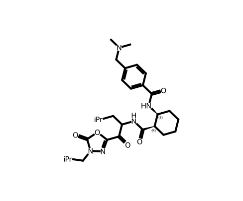 CC(C)CC(NC(=O)[C@@H]1CCCC[C@@H]1NC(=O)c1ccc(CN(C)C)cc1)C(=O)c1nn(CC(C)C)c(=O)o1